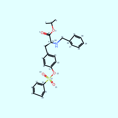 CC(C)OC(=O)[C@H](Cc1ccc(OS(=O)(=O)c2ccccc2)cc1)NCc1ccccc1